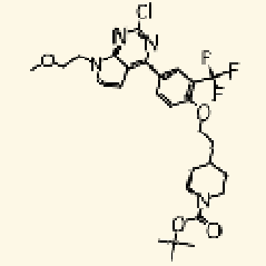 COCCn1ccc2c(-c3ccc(OCCC4CCN(C(=O)OC(C)(C)C)CC4)c(C(F)(F)F)c3)nc(Cl)nc21